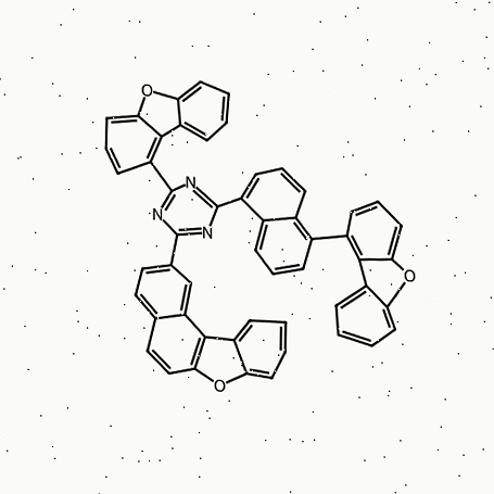 c1ccc2c(c1)oc1cccc(-c3nc(-c4ccc5ccc6oc7ccccc7c6c5c4)nc(-c4cccc5c(-c6cccc7oc8ccccc8c67)cccc45)n3)c12